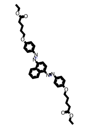 CCOC(=O)CCCCOc1ccc(/N=N/c2ccc(/N=N/c3ccc(OCCCCC(=O)OCC)cc3)c3ccccc23)cc1